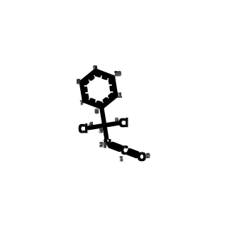 O=C=NC(Cl)(Cl)c1ccccc1